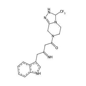 N=C(CC(=O)N1CCN2C(=NNC2C(F)(F)F)C1)Cc1c[nH]c2ccccc12